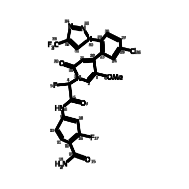 COc1cn(C(F)C(=O)Nc2ccc(C(N)=O)c(F)c2)c(=O)cc1-c1cc(Cl)ccc1-n1cc(C(F)(F)F)nn1